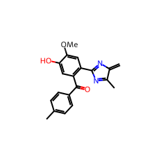 C=C1N=C(c2cc(OC)c(O)cc2C(=O)c2ccc(C)cc2)N=C1C